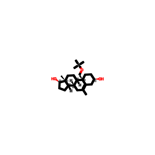 CC1=C2C[C@@H](O)CC[C@]2(CO[Si](C)(C)C)[C@H]2CC[C@]3(C)[C@@H](O)CC[C@H]3[C@@H]2C1